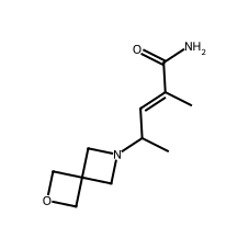 C/C(=C\C(C)N1CC2(COC2)C1)C(N)=O